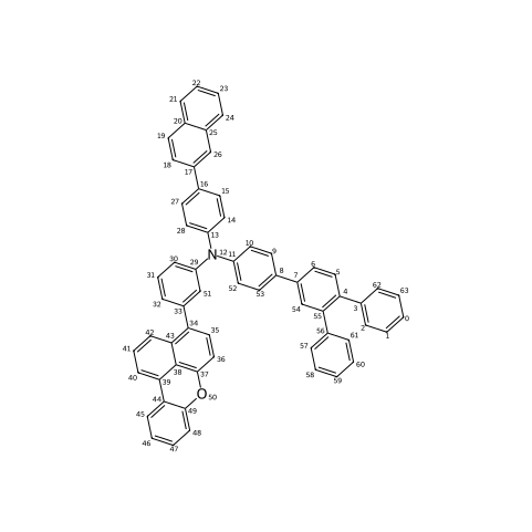 c1ccc(-c2ccc(-c3ccc(N(c4ccc(-c5ccc6ccccc6c5)cc4)c4cccc(-c5ccc6c7c(cccc57)-c5ccccc5O6)c4)cc3)cc2-c2ccccc2)cc1